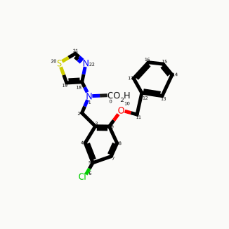 O=C(O)N(Cc1cc(Cl)ccc1OCc1ccccc1)c1cscn1